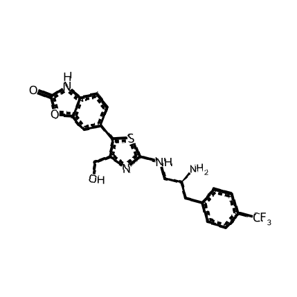 N[C@H](CNc1nc(CO)c(-c2ccc3[nH]c(=O)oc3c2)s1)Cc1ccc(C(F)(F)F)cc1